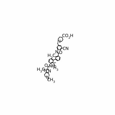 Cc1c(NC(=O)c2nc3c(n2C)CCN(C)C3)cccc1-c1cccc(-c2nc3cc(CN4CCC(C(=O)O)CC4)cc(C#N)c3o2)c1C